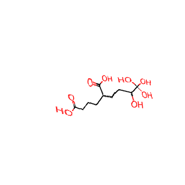 O=C(O)CCCC(CCC(O)C(O)(O)O)C(=O)O